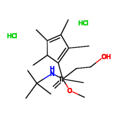 Cl.Cl.[CH2]=[Ti]([CH3])([CH2]CO)([NH]C(C)(C)C)([O]C)[C]1=C(C)C(C)=C(C)C1C